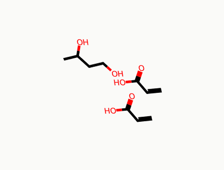 C=CC(=O)O.C=CC(=O)O.CC(O)CCO